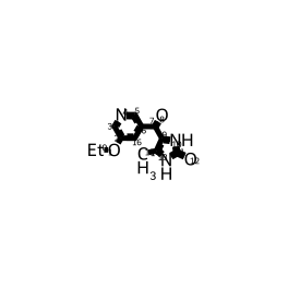 CCOc1cncc(C(=O)c2[nH]c(=O)[nH]c2C)c1